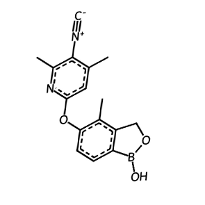 [C-]#[N+]c1c(C)cc(Oc2ccc3c(c2C)COB3O)nc1C